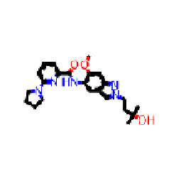 COc1cc2nn(CCC(C)(C)O)cc2cc1NC(=O)c1cccc(N2CCCC2)n1